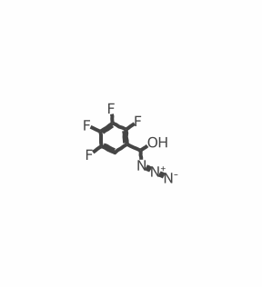 [N-]=[N+]=NC(O)c1cc(F)c(F)c(F)c1F